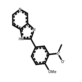 COc1ccc(-c2nc3cnccc3[nH]2)cc1[S+](C)[O-]